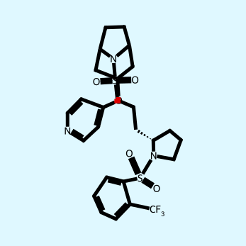 O=S(=O)(CCC[C@@H]1CCCN1S(=O)(=O)c1ccccc1C(F)(F)F)N1C2CCC1CC(Oc1ccncc1)C2